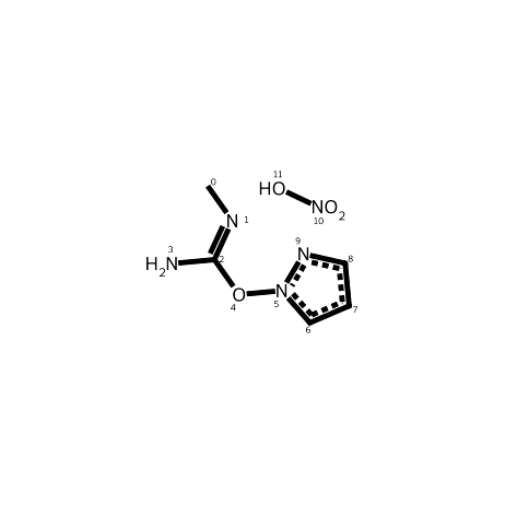 CN=C(N)On1cccn1.O=[N+]([O-])O